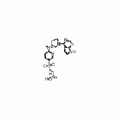 C[C@@H](O)CNS(=O)(=O)c1ccc(N(C)[C@@H]2CCN(c3ncnc4[nH]ccc34)C2)nc1